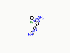 Nc1nc(N(Br)c2ccccc2)c2cc(-c3ccc(N4CCNCC4)nc3)ccc2n1